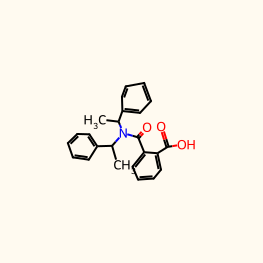 CC(c1ccccc1)N(C(=O)c1ccccc1C(=O)O)C(C)c1ccccc1